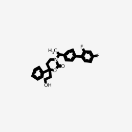 CC(c1ccc(-c2ccc(F)cc2F)cc1)N1CCC(CCO)(c2ccccc2)OC1=O